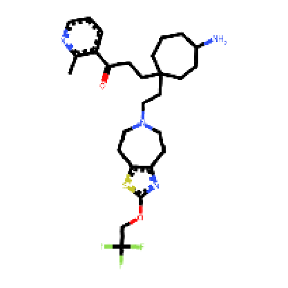 Cc1ncccc1C(=O)CCC1(CCN2CCc3nc(OCC(F)(F)F)sc3CC2)CCCC(N)CC1